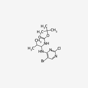 CC(C)C(NC(=O)OC(C)(C)C)Nc1nc(Cl)ncc1Br